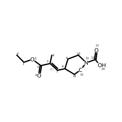 CCOC(=O)/C(C)=C/C1CCN(C(=O)O)CC1